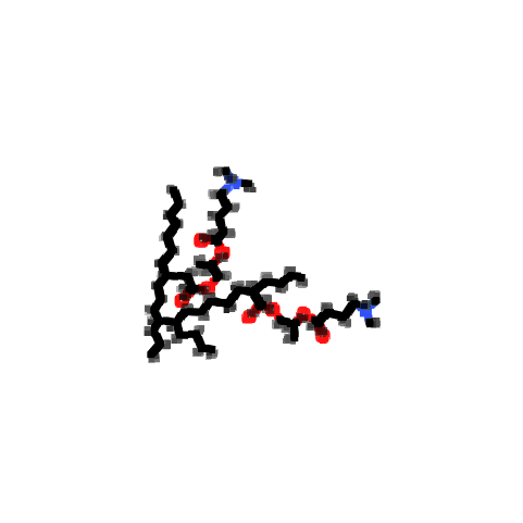 CCCCCCCC(CCCC(CCC)C(CCCC)CCCCCC(CCCC)C(=O)OCC(C)OC(=O)CCCN(C)C)CC(=O)OCC(C)OC(=O)CCCCN(C)C